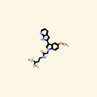 COc1ccc2c(c1)c(-c1cc3cccnc3[nH]1)cn2CC(=O)NCCC(C)C